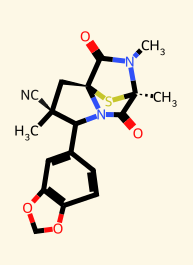 CN1C(=O)[C@@]23C[C@](C)(C#N)C(c4ccc5c(c4)OCO5)N2C(=O)[C@@]1(C)S3